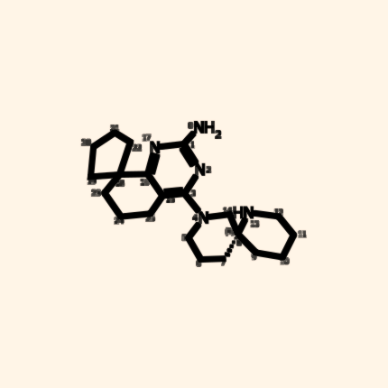 Nc1nc(N2CCC[C@]3(CCCCN3)C2)c2c(n1)C1(CCCC1)CCC2